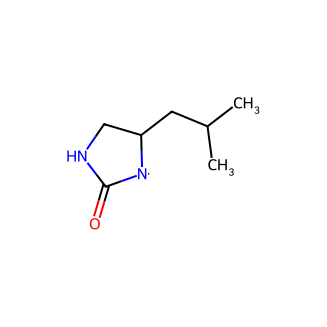 CC(C)CC1CNC(=O)[N]1